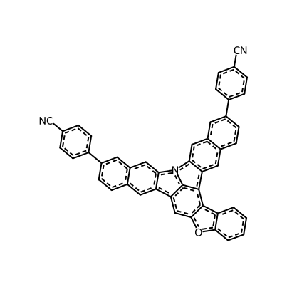 N#Cc1ccc(-c2ccc3cc4c5cc6oc7ccccc7c6c6c7cc8ccc(-c9ccc(C#N)cc9)cc8cc7n(c4cc3c2)c56)cc1